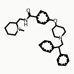 CN1CCCCC1CNC(=O)c1ccc(OC2CCN(CC(c3ccccc3)c3ccccc3)CC2)cc1